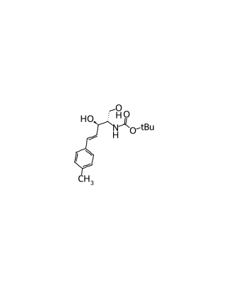 Cc1ccc(/C=C/[C@@H](O)[C@H](CO)NC(=O)OC(C)(C)C)cc1